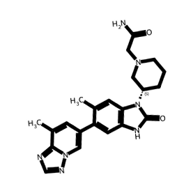 Cc1cc2c(cc1-c1cc(C)c3ncnn3c1)[nH]c(=O)n2[C@H]1CCCN(CC(N)=O)C1